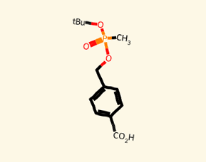 CC(C)(C)OP(C)(=O)OCc1ccc(C(=O)O)cc1